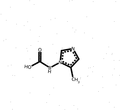 Cc1cncn1BC(=O)O